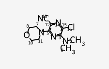 CN(C)c1nc(N2CCOCC2)c(C#N)nc1Cl